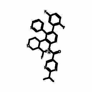 CC(C)c1ncc(C(=O)Nc2ccc(-c3cc(F)ccc3F)c(-c3cccnc3)c2C2CCOCC2C(F)F)cn1